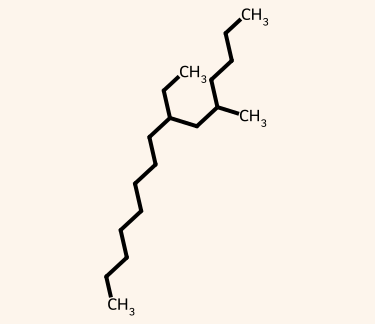 CCCCCCCCC(CC)CC(C)CCCC